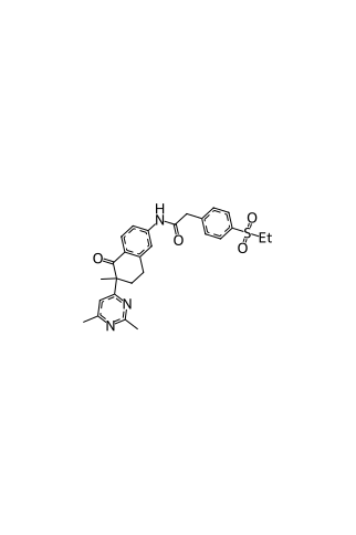 CCS(=O)(=O)c1ccc(CC(=O)Nc2ccc3c(c2)CCC(C)(c2cc(C)nc(C)n2)C3=O)cc1